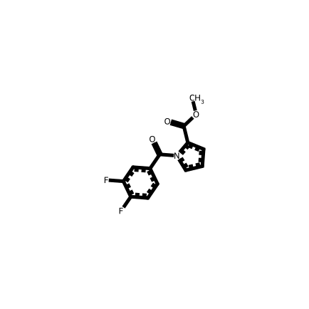 COC(=O)c1cccn1C(=O)c1ccc(F)c(F)c1